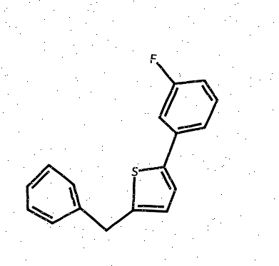 Fc1cccc(-c2ccc(Cc3ccccc3)s2)c1